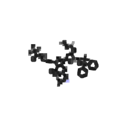 CSS[C@H](C)O[C@@H]1C[C@H](n2nc(C#CCNC(=O)C(F)(F)F)c3c(=O)[nH]c(/N=C\N(C)C)nc32)O[C@@H]1CO[Si](c1ccccc1)(c1ccccc1)C(C)(C)C